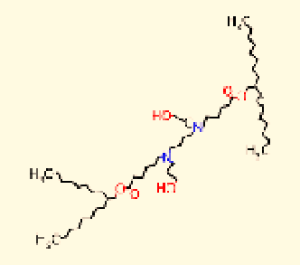 CCCCCCCCC(CCCCCCCC)COC(=O)CCCCCN(CCCO)CCCCN(CCCO)CCCCCC(=O)OCC(CCCCCCCC)CCCCCCCC